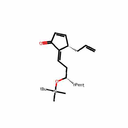 C=CC[C@H]1C=CC(=O)/C1=C/C[C@H](CCCCC)O[Si](C)(C)C(C)(C)C